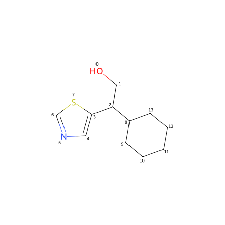 OCC(c1cncs1)C1CCCCC1